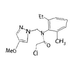 CCc1cccc(C)c1N(Cn1cc(OC)cn1)C(=O)CCl